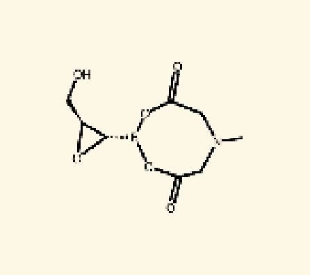 CN1CC(=O)OB([C@@H]2O[C@H]2CO)OC(=O)C1